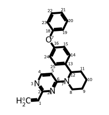 C=Cc1nccc(N2CCCCC2c2ccc(Oc3ccccc3)cc2)n1